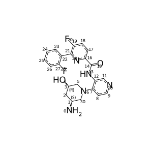 N[C@H]1C[C@@H](O)CN(c2ccncc2NC(=O)c2ccc(F)c(-c3ccccc3F)n2)C1